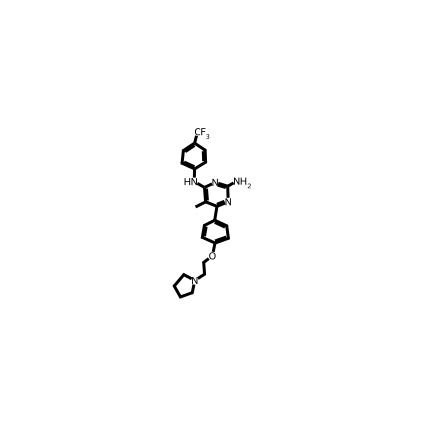 Cc1c(Nc2ccc(C(F)(F)F)cc2)nc(N)nc1-c1ccc(OCCN2CCCC2)cc1